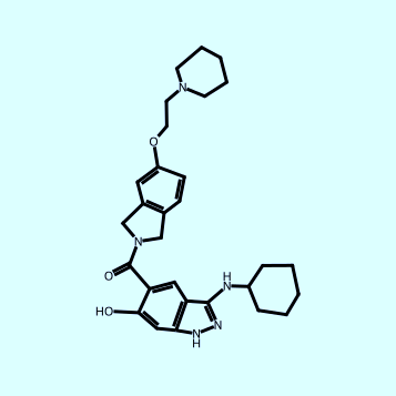 O=C(c1cc2c(NC3CCCCC3)n[nH]c2cc1O)N1Cc2ccc(OCCN3CCCCC3)cc2C1